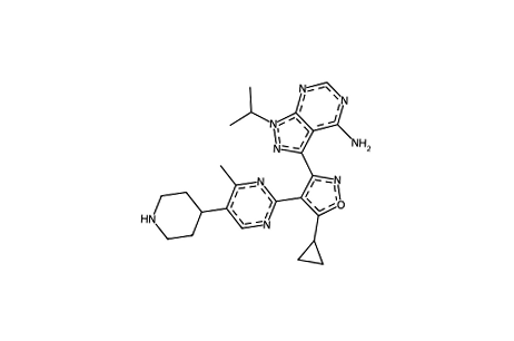 Cc1nc(-c2c(-c3nn(C(C)C)c4ncnc(N)c34)noc2C2CC2)ncc1C1CCNCC1